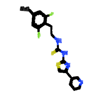 COc1cc(F)c(CCNC(=S)Nc2nc(-c3cccnc3)cs2)c(F)c1